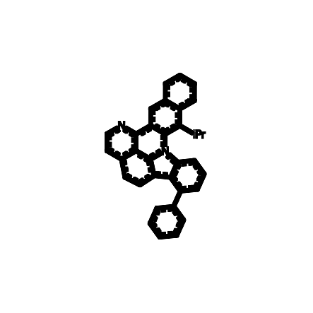 CC(C)c1c2ccccc2cc2c3nccc4ccc5c6c(-c7ccccc7)cccc6n(c12)c5c43